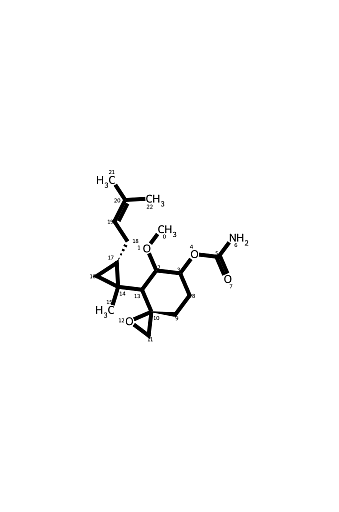 COC1C(OC(N)=O)CC[C@]2(CO2)C1C1(C)C[C@@H]1CC=C(C)C